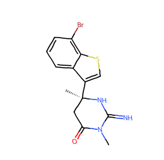 CN1C(=N)N[C@](C)(c2csc3c(Br)cccc23)CC1=O